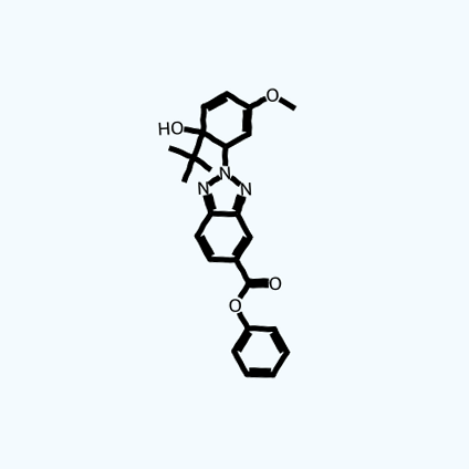 COC1=CC(n2nc3ccc(C(=O)Oc4ccccc4)cc3n2)C(O)(C(C)(C)C)C=C1